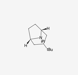 CC(C)N1[C@@H]2CC[C@H]1CC(C(C)(C)C)C2